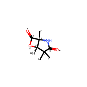 CC1(C)C(=O)N[C@@]2(C)C(=O)O[C@@H]12